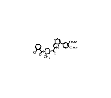 COc1ccc(-c2ccnc3cc(C(=O)N4CCN(C(=O)c5ccccc5Cl)[C@@H](C)C4)nn23)cc1OC